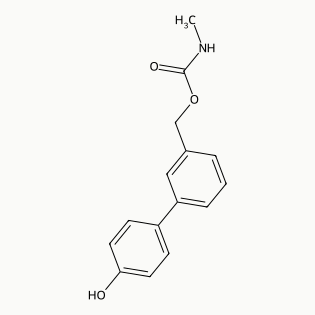 CNC(=O)OCc1cccc(-c2ccc(O)cc2)c1